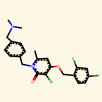 Cc1cc(OCc2ccc(F)cc2F)c(Br)c(=O)n1Cc1ccc(CN(C)C)cc1